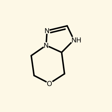 C1=NN2CCOCC2N1